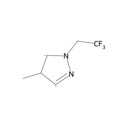 CC1[C]=NN(CC(F)(F)F)[CH]1